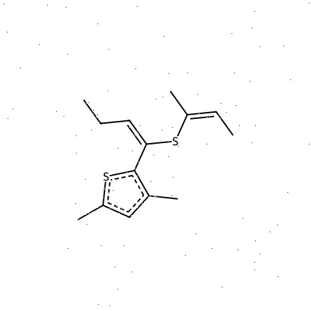 C/C=C(/C)S/C(=C/CC)c1sc(C)cc1C